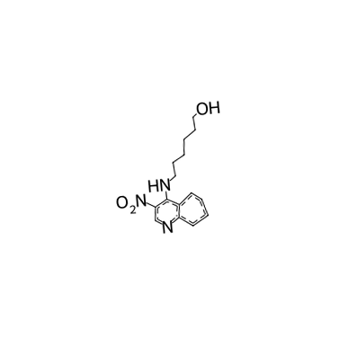 O=[N+]([O-])c1cnc2ccccc2c1NCCCCCCO